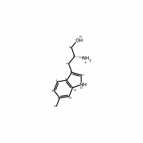 Cc1ccc2c(C[C@@H](N)CO)c[nH]c2c1